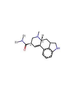 CCN(CC)C(=O)[C@@H]1C=C2c3cccc4c3C(CN4)C[C@H]2N(C)C1